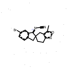 Cc1onc2c1CC1(CC2)Cc2ccc(Br)cc2/C1=N/C#N